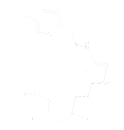 CCC(CC1CCC(c2cc(NC(=O)Cc3ccc(C(F)(F)F)cn3)n[nH]2)C1)NC(=O)O